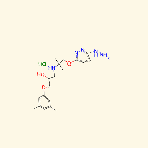 Cc1cc(C)cc(OCC(O)CNC(C)(C)COc2ccc(NN)nn2)c1.Cl